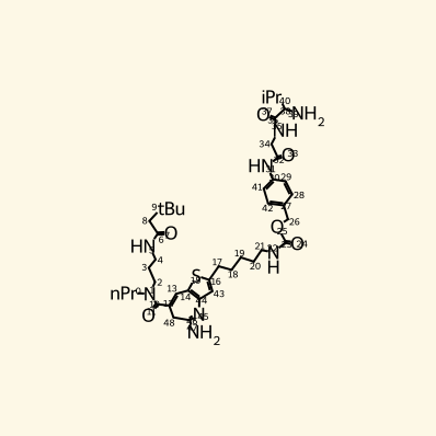 CCCN(CCCNC(=O)CC(C)(C)C)C(=O)C1=Cc2sc(CCCCCNC(=O)OCc3ccc(NC(=O)CNC(=O)C(N)C(C)C)cc3)cc2N=C(N)C1